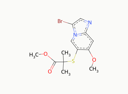 COC(=O)C(C)(C)Sc1cn2c(Br)cnc2cc1OC